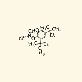 CCCN([C]=O)Oc1ccc(C(C)(C)CC)cc1C(C)(C)CC